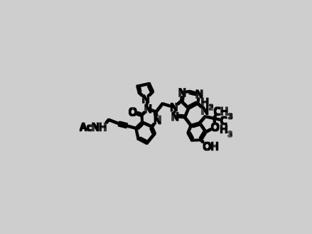 CC(=O)NCC#Cc1cccc2nc(Cn3nc(-c4ccc(O)c5c4CC(C)(C)O5)c4c(N)ncnc43)n(-n3cccc3)c(=O)c12